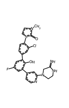 Cn1ccn(-c2ccc(-c3cc(F)cc(-c4ccnc(N5CCNC(=N)C5)c4)c3O)cc2Cl)c1=O